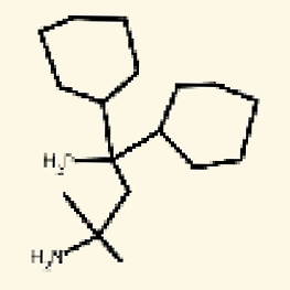 CC(C)(N)CC(P)(C1CCCCC1)C1CCCCC1